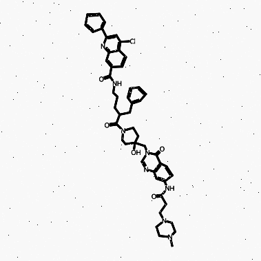 CN1CCN(CCC(=O)Nc2ccc3c(=O)n(CC4(O)CCN(C(=O)C(CCCNC(=O)c5ccc6c(Cl)cc(-c7ccccc7)nc6c5)Cc5ccccc5)CC4)cnc3c2)CC1